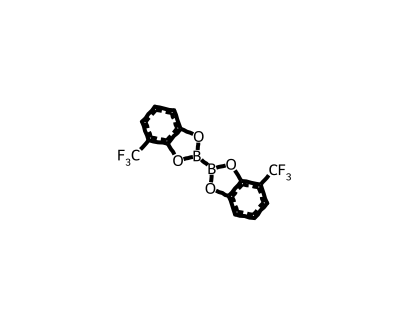 FC(F)(F)c1cccc2c1OB(B1Oc3cccc(C(F)(F)F)c3O1)O2